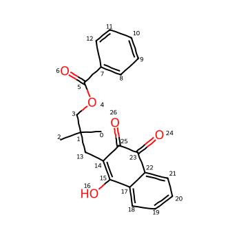 CC(C)(COC(=O)c1ccccc1)CC1=C(O)c2ccccc2C(=O)C1=O